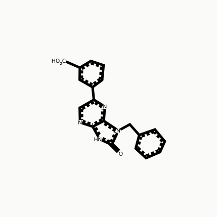 O=C(O)c1cccc(-c2cnc3[nH]c(=O)n(Cc4ccccc4)c3n2)c1